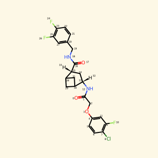 O=C(COc1ccc(Cl)c(F)c1)N[C@H]1C[C@@H](C(=O)NCc2ccc(F)c(F)c2)C2CC1C2